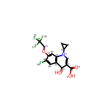 O=C(O)C1=CN(C2CC2)c2cc(OCC(F)(F)F)c(F)cc2C1O